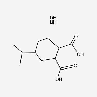 CC(C)C1CCC(C(=O)O)C(C(=O)O)C1.[LiH].[LiH]